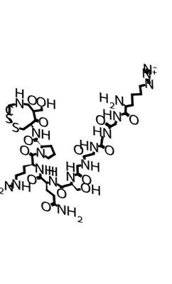 [N-]=[N+]=NCCCC[C@H](N)C(=O)NCC(=O)NCC(=O)NCC(=O)NCC(=O)N[C@@H](CO)C(=O)N[C@@H](CCC(N)=O)C(=O)N[C@@H](CCCNN)C(=O)N1CCC[C@H]1C(=O)N[C@H]1CSSCCNC(=O)C(CO)C1=O